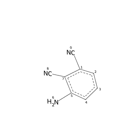 N#Cc1cccc(N)c1C#N